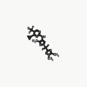 Cc1nn(C(F)(F)c2nc(C)n(C)n2)cc1Nc1ncc(C(F)(F)F)c(C2CC2)n1